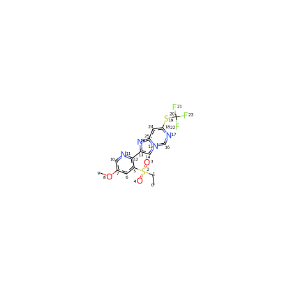 CCS(=O)(=O)c1cc(OC)cnc1-c1cn2cnc(SC(F)(F)F)cc2n1